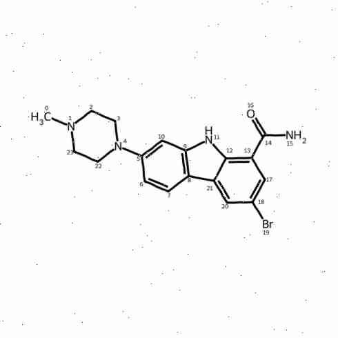 CN1CCN(c2ccc3c(c2)[nH]c2c(C(N)=O)cc(Br)cc23)CC1